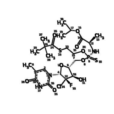 Cc1cn([C@@H]2O[C@H](CO[P@@](=S)(N[C@H](C)C(=O)OC(C)C)OCCSC(=O)C(C)(C)C)[C@@H](O)[C@]2(F)Cl)c(=O)[nH]c1=O